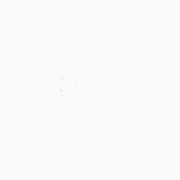 CCCCCCCCCCCCCCCCSCC(Nc1ccc(C)[nH]1)C(=O)O